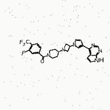 O=C(c1ccc(C(F)(F)F)c(F)c1)N1CCC(N2CC(n3ccc(-c4ncnc5[nH]ccc45)c3)C2)CC1